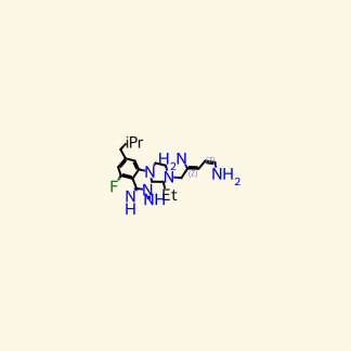 CCC1CN(c2cc(CC(C)C)cc(F)c2C(=N)N=N)CCN1C/C(N)=C/C=C\N